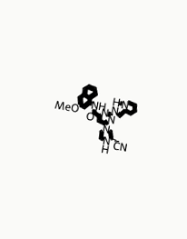 COc1cc(NC(=O)c2cc(N3CCN[C@@H](CC#N)C3)nc(NCC3CCCCN3C)n2)c2ccccc2c1